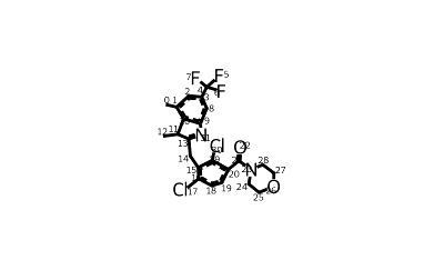 Cc1cc(C(F)(F)F)cc2c1C(C)C(Cc1c(Cl)ccc(C(=O)N3CCOCC3)c1Cl)=N2